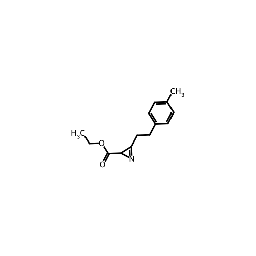 CCOC(=O)C1N=C1CCc1ccc(C)cc1